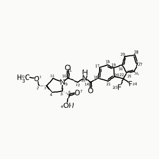 COC[C@H]1C[C@@H](C(=O)O)N(C(=O)CNC(=O)c2ccc3c(c2)C(F)(F)c2ccccc2-3)C1